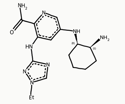 CCn1cnc(Nc2cc(N[C@@H]3CCCC[C@@H]3N)cnc2C(N)=O)n1